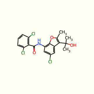 Cc1oc2c(NC(=O)c3c(Cl)cccc3Cl)cc(Cl)cc2c1C(C)(C)O